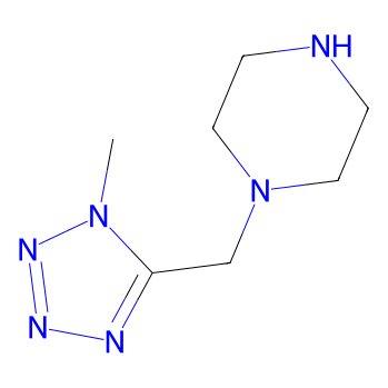 Cn1nnnc1CN1CCNCC1